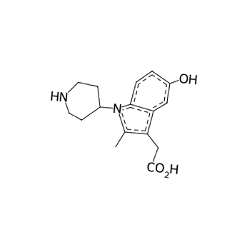 Cc1c(CC(=O)O)c2cc(O)ccc2n1C1CCNCC1